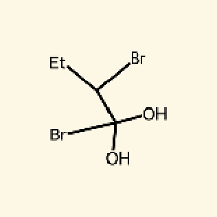 CCC(Br)C(O)(O)Br